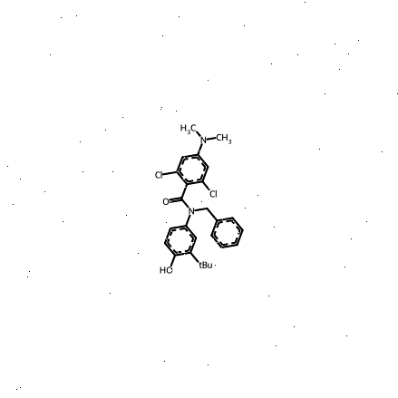 CN(C)c1cc(Cl)c(C(=O)N(Cc2ccccc2)c2ccc(O)c(C(C)(C)C)c2)c(Cl)c1